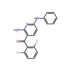 Nc1nc(Nc2ccccc2)ccc1C(=O)c1c(F)cccc1F